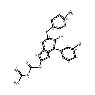 C=C(C)OC(=O)Nc1nc2c(-c3cccc(Cl)c3)c(F)c(Cc3ccc(N)cc3)cc2s1